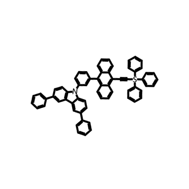 C(#CS(c1ccccc1)(c1ccccc1)c1ccccc1)c1c2ccccc2c(-c2cccc(-n3c4ccc(-c5ccccc5)cc4c4cc(-c5ccccc5)ccc43)c2)c2ccccc12